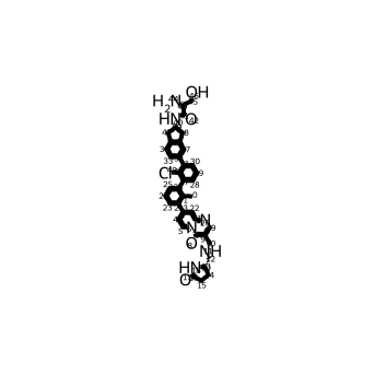 Cc1c(-c2ccn3c(=O)c(CNC[C@@H]4CCC(=O)N4)cnc3c2)cccc1-c1cccc(-c2ccc3c(c2)C[C@@H](NC(=O)[C@H](N)CO)C3)c1Cl